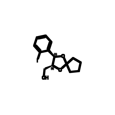 OC[C@H]1OC2(CCCC2)O[C@@H]1c1ccccc1I